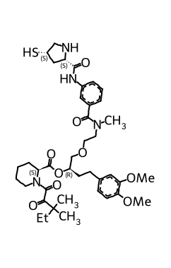 CCC(C)(C)C(=O)C(=O)N1CCCC[C@H]1C(=O)O[C@H](CCc1ccc(OC)c(OC)c1)COCCN(C)C(=O)c1cccc(NC(=O)[C@@H]2C[C@H](S)CN2)c1